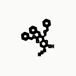 [N-]=[N+]=N[C@@H]1CC[C@@H]([C@@H](COCc2ccccc2)N(Cc2ccccc2)C(=O)OCc2ccccc2)OC1O